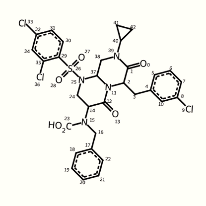 O=C1C(Cc2cccc(Cl)c2)N2C(=O)C(N(Cc3ccccc3)C(=O)O)CN(S(=O)(=O)c3ccc(Cl)cc3Cl)C2CN1C1CC1